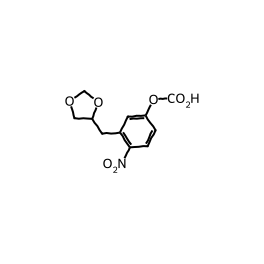 O=C(O)Oc1ccc([N+](=O)[O-])c(CC2COCO2)c1